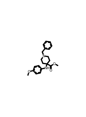 COC(=O)C1(Nc2ccc(OC)cc2)CCN(Cc2ccccc2)CC1